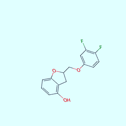 Oc1cccc2c1CC(COc1ccc(F)c(F)c1)O2